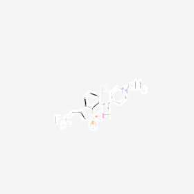 CN1CC[C@@H](Nc2cccc3c2S(=O)(=O)C=C3CC(F)(F)F)[C@H](F)C1